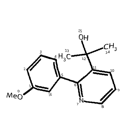 COc1cccc(-c2ncccc2C(C)(C)O)c1